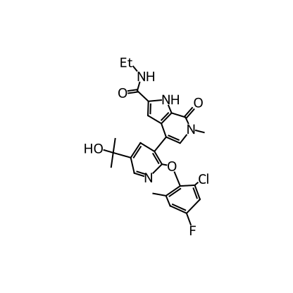 CCNC(=O)c1cc2c(-c3cc(C(C)(C)O)cnc3Oc3c(C)cc(F)cc3Cl)cn(C)c(=O)c2[nH]1